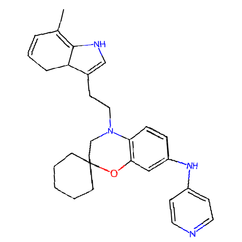 CC1=C2NC=C(CCN3CC4(CCCCC4)Oc4cc(Nc5ccncc5)ccc43)C2CC=C1